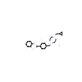 C[C@@H]1CN(CC2CC2)C[C@H](C)N1Cc1ccc(C(=O)Nc2ccccc2N)cc1